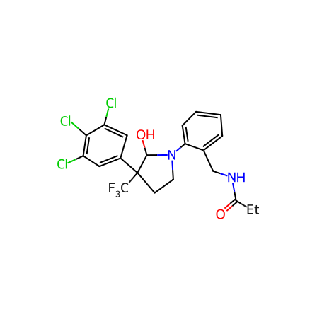 CCC(=O)NCc1ccccc1N1CCC(c2cc(Cl)c(Cl)c(Cl)c2)(C(F)(F)F)C1O